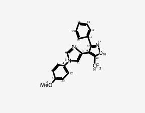 COc1ccc(-n2cnc(-c3c(-c4ccccc4)noc3C(F)(F)F)c2)cc1